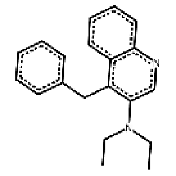 CCN(CC)c1cnc2ccccc2c1Cc1ccccc1